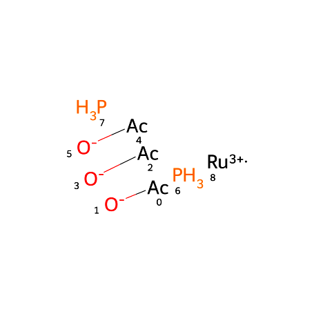 CC(=O)[O-].CC(=O)[O-].CC(=O)[O-].P.P.[Ru+3]